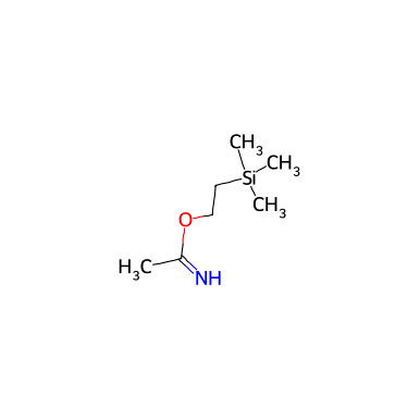 CC(=N)OCC[Si](C)(C)C